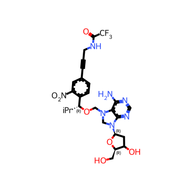 CC(C)[C@@H](OCN1CN([C@H]2CC(O)[C@@H](CO)O2)c2ncnc(N)c21)c1ccc(C#CCNC(=O)C(F)(F)F)cc1[N+](=O)[O-]